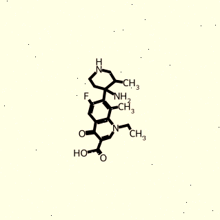 CCn1cc(C(=O)O)c(=O)c2cc(F)c(C3(N)CCNCC3C)c(C)c21